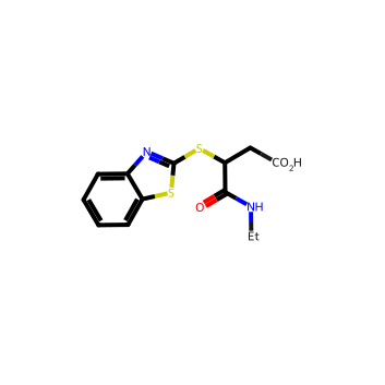 CCNC(=O)C(CC(=O)O)Sc1nc2ccccc2s1